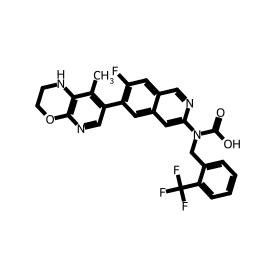 Cc1c(-c2cc3cc(N(Cc4ccccc4C(F)(F)F)C(=O)O)ncc3cc2F)cnc2c1NCCO2